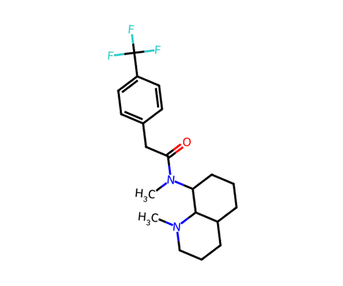 CN1CCCC2CCCC(N(C)C(=O)Cc3ccc(C(F)(F)F)cc3)C21